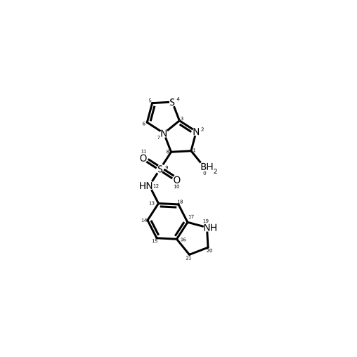 BC1N=C2SC=CN2C1S(=O)(=O)Nc1ccc2c(c1)NCC2